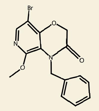 COc1ncc(Br)c2c1N(Cc1ccccc1)C(=O)CO2